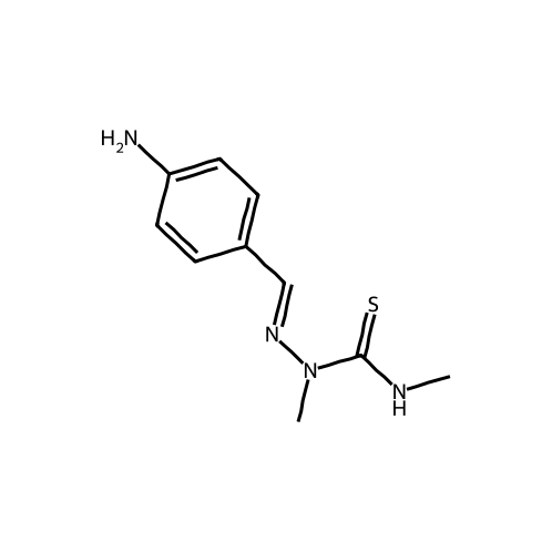 CNC(=S)N(C)/N=C/c1ccc(N)cc1